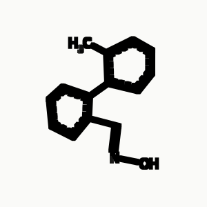 Cc1ccccc1-c1ccccc1C=NO